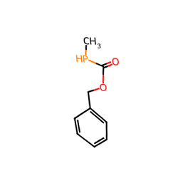 CPC(=O)OCc1ccccc1